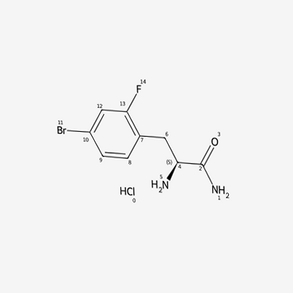 Cl.NC(=O)[C@@H](N)Cc1ccc(Br)cc1F